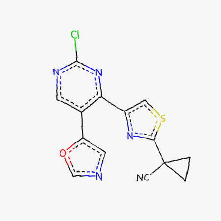 N#CC1(c2nc(-c3nc(Cl)ncc3-c3cnco3)cs2)CC1